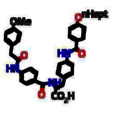 CCCCCCCOc1ccc(C(=O)Nc2ccc(C[C@H](NC(=O)c3ccc(NC(=O)Cc4ccc(OC)cc4)cc3)C(=O)O)cc2)cc1